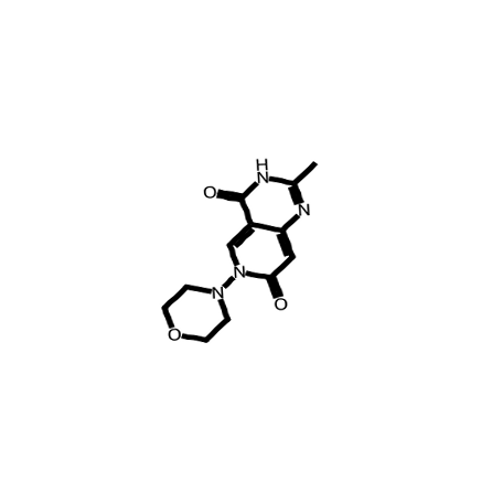 Cc1nc2cc(=O)n(N3CCOCC3)cc2c(=O)[nH]1